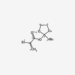 C=C(CC)C(=O)OC1(CCCC)OCCO1